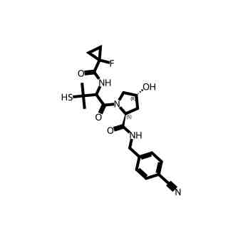 CC(C)(S)C(NC(=O)C1(F)CC1)C(=O)N1C[C@H](O)C[C@H]1C(=O)NCc1ccc(C#N)cc1